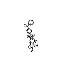 C=CC(=O)NC1C(C)(C)CN(S(=O)(=O)c2ccc(C(=O)N3CCCCC3)cc2)CC1(C)C